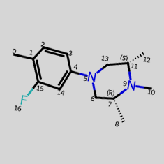 Cc1ccc(N2C[C@@H](C)N(C)[C@@H](C)C2)cc1F